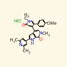 COc1ccc(-c2cn(C)c(=O)cc2-c2cn(C)c(=O)c3[nH]c(-c4cc(C)nc(C)c4)cc23)cc1.Cl